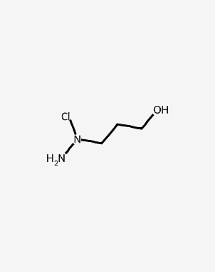 NN(Cl)CCCO